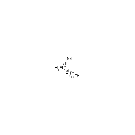 [AlH3].[Nd].[Pr].[SiH4].[Tb].[Ti]